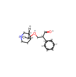 O=[C]C(CO[C@H]1CN2CCC1CC2)c1ccccc1